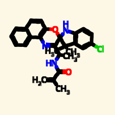 C=C(C)C(=O)NC(C)C1=Nc2c(ccc3ccccc23)OC12Nc1ccc(Cl)cc1C2(C)C